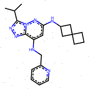 CC(C)c1nnc2c(NCc3ccccn3)cc(NC3CC4(CCC4)C3)nn12